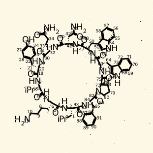 CC(C)C[C@@H]1NC(=O)[C@H](CCCCN)NC(=O)[C@H](C(C)C)NC(=O)[C@H](Cc2ccc(O)cc2)NC(=O)[C@H](CCC(N)=O)NC(=O)[C@H](CC(N)=O)NC(=O)[C@@H](Cc2c[nH]c3ccccc23)NC(=O)[C@H](Cc2c[nH]c3ccccc23)NC(=O)[C@@H]2CCCN2C(=O)[C@@H](Cc2ccccc2)NC1=O